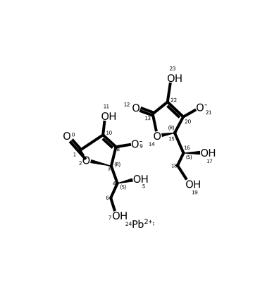 O=C1O[C@H]([C@@H](O)CO)C([O-])=C1O.O=C1O[C@H]([C@@H](O)CO)C([O-])=C1O.[Pb+2]